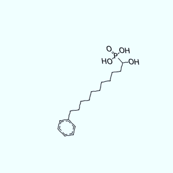 O=P(O)(O)C(O)CCCCCCCCCCc1ccccc1